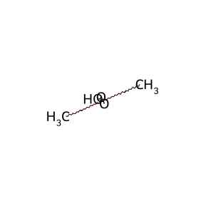 CCCCCCCCC=CCCCCCCCCCCCC(=O)C(CCCCCCCCCCC=CCCCCCCCC)C(=O)O